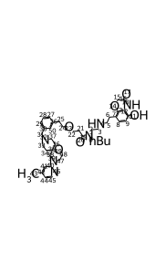 CCCCN(CCNCCc1ccc(O)c2c1OCC(=O)N2)C(=O)CCOCCc1cccc(CN2CCC3(CC2)CN(c2cc(C)ccn2)CCO3)c1